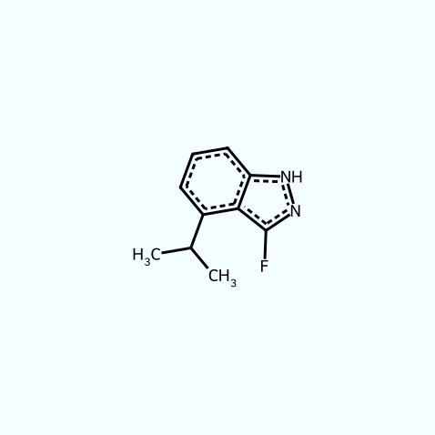 CC(C)c1cccc2[nH]nc(F)c12